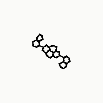 c1ccc2c(-c3cc4ccc5cc(-c6cccc7ccccc67)cc6ccc(c3)c4c56)cccc2c1